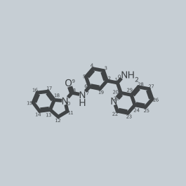 NC(c1cccc(NC(=O)N2CCc3ccccc32)c1)c1nccc2ccccc12